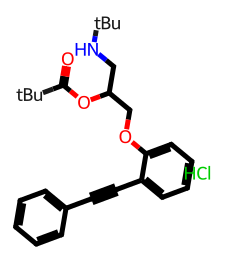 CC(C)(C)NCC(COc1ccccc1C#Cc1ccccc1)OC(=O)C(C)(C)C.Cl